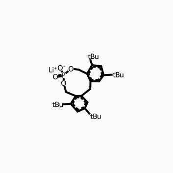 CC(C)(C)c1cc2c(c(C(C)(C)C)c1)COP(=O)([O-])OCc1c(cc(C(C)(C)C)cc1C(C)(C)C)C2.[Li+]